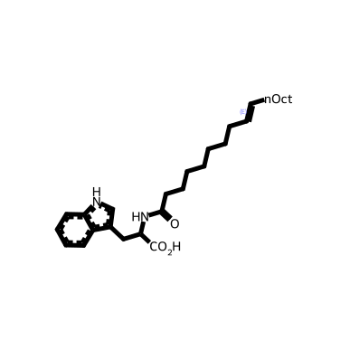 CCCCCCCC/C=C/CCCCCCCC(=O)NC(Cc1c[nH]c2ccccc12)C(=O)O